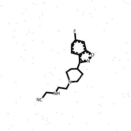 N#CCNCCN1CCC(c2noc3cc(F)ccc23)CC1